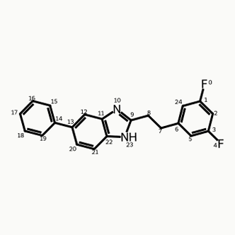 Fc1cc(F)cc(CCc2nc3cc(-c4ccccc4)ccc3[nH]2)c1